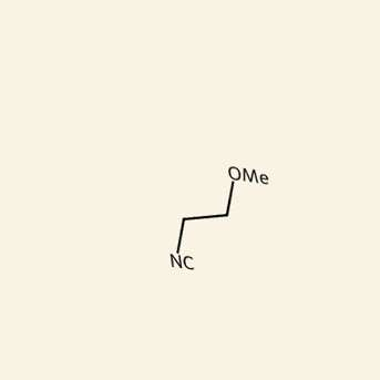 [C-]#[N+]CCOC